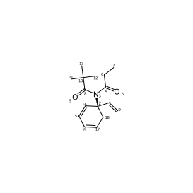 C=C[C@@]1(N(C(=O)CC)C(=O)C(C)(C)C)C=CC=CC1